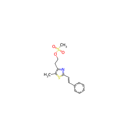 Cc1sc(C=Cc2ccccc2)nc1CCOS(C)(=O)=O